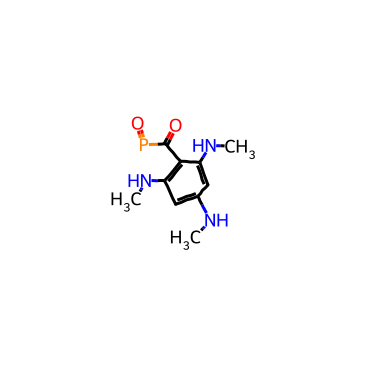 CNc1cc(NC)c(C(=O)P=O)c(NC)c1